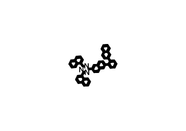 c1ccc(-c2ccc3cc(-c4nc(-c5cccc6ccccc56)nc(-c5cccc6ccccc56)n4)ccc3c2)c(-c2ccc3ccccc3c2)c1